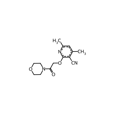 Cc1cc(C)c(C#N)c(OCC(=O)N2CCOCC2)n1